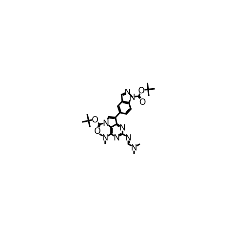 CN(C)C=Nc1nc(N(C)C)c2c(n1)c(-c1ccc3c(cnn3C(=O)OC(C)(C)C)c1)cn2C(=O)OC(C)(C)C